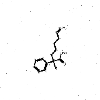 C=CCCCCC(C(=O)OC)(c1ccccc1)C(C)C